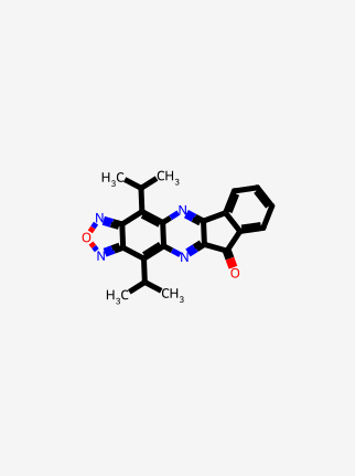 CC(C)c1c2nonc2c(C(C)C)c2nc3c(nc12)C(=O)c1ccccc1-3